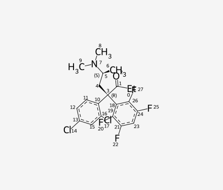 CCC(=O)[C@@](C[C@H](C)N(C)C)(c1ccc(Cl)cc1Cl)c1c(F)c(F)cc(F)c1F